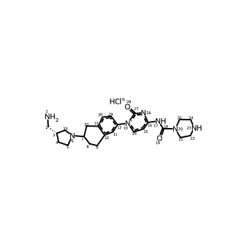 Cl.NC[C@H]1CCN(C2CCc3cc(-n4ccc(NC(=O)N5CCNCC5)nc4=O)ccc3C2)C1